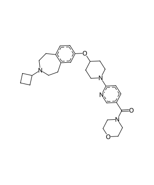 O=C(c1ccc(N2CCC(Oc3ccc4c(c3)CCN(C3CCC3)CC4)CC2)nc1)N1CCOCC1